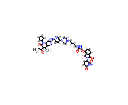 CC(=O)c1c(C)c2cnc(Nc3ccc(N4CCN(CCCCNC(=O)COc5cccc6c5C(=O)N(C5CCC(=O)NC5=O)C6=O)CC4)cn3)cc2n(C2CCCC2)c1=O